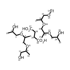 CC(O)COC(C)COC(C)CO.CCOCC(C)OCC(C)OCC(C)O.O=C(O)CCC(=O)O